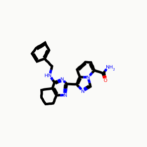 NC(=O)c1cccc2c(-c3nc4c(c(NCc5ccccc5)n3)CCCC4)ncn12